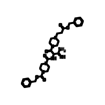 N=C(N)C(NC(=O)N1CCN(C(=O)OCc2ccccc2)CC1)C(=O)N1CCN(CCC(=O)OCc2ccccc2)CC1